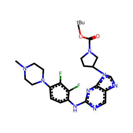 CN1CCN(c2ccc(Nc3ncc4ncn(C5CCN(C(=O)OC(C)(C)C)C5)c4n3)c(F)c2F)CC1